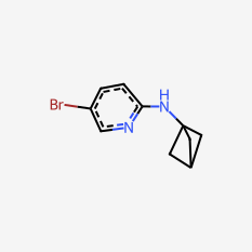 Brc1ccc(NC23CC(C2)C3)nc1